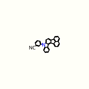 N#Cc1cccc(-n2c3ccccc3c3c4c(ccc32)-c2cccc3cccc-4c23)c1